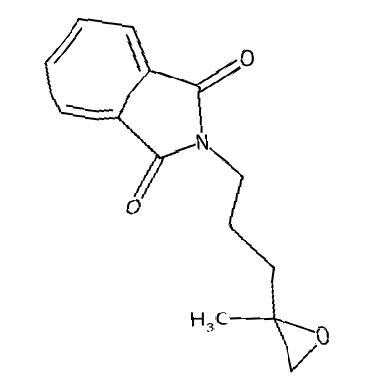 CC1(CCCN2C(=O)c3ccccc3C2=O)CO1